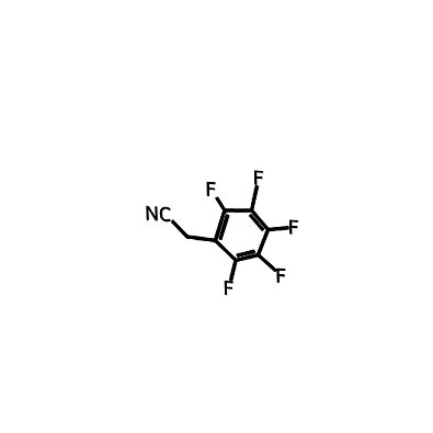 N#CCc1c(F)c(F)c(F)c(F)c1F